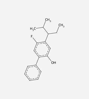 CCC(c1cc(O)c(-c2ccccc2)cc1F)C(C)C